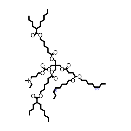 CC/C=C\CCCCOC(CCC(=O)OCC(COC(=O)CCCCCOC(=O)C(CCCC)CCCCCC)(COC(=O)CCCCCOC(=O)C(CCCC)CCCCCC)COC(=O)OCCCN(C)CC)OCCCC/C=C\CC